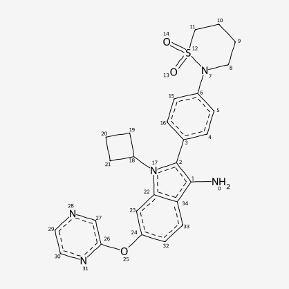 Nc1c(-c2ccc(N3CCCCS3(=O)=O)cc2)n(C2CCC2)c2cc(Oc3cnccn3)ccc12